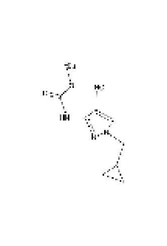 CC(C)(C)OC(=O)Nc1nn(CC2CC2)cc1N=O